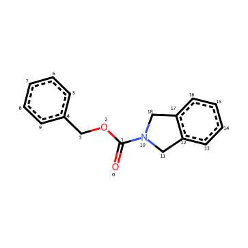 O=C(OCc1ccccc1)N1Cc2ccccc2C1